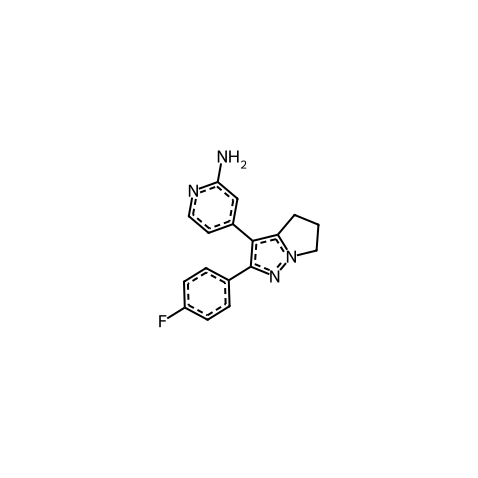 Nc1cc(-c2c(-c3ccc(F)cc3)nn3c2CCC3)ccn1